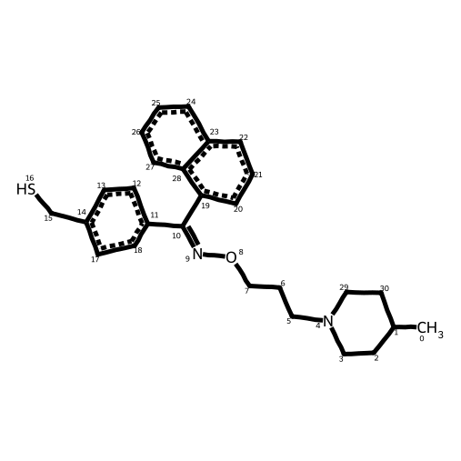 CC1CCN(CCCO/N=C(/c2ccc(CS)cc2)c2cccc3ccccc23)CC1